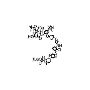 Cc1ncsc1-c1ccc(CNC(=O)[C@@H]2C[C@@H](O)CN2C(=O)[C@@H](NC(=O)C2(F)CC2)C(C)(C)C)c(OC2CCC(CN3CC(Nc4cccc(Sc5cnc(N6CCC(C)(CNC(=O)OC(C)(C)C)CC6)cn5)c4Cl)C3)CC2)c1